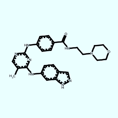 Cc1cnc(Nc2ccc(C(=O)NCCN3CCOCC3)cc2)nc1Nc1ccc2cn[nH]c2c1